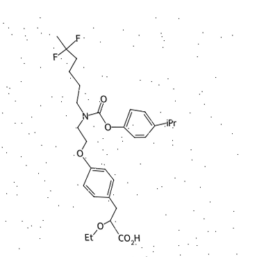 CCOC(Cc1ccc(OCCN(CCCCC(C)(F)F)C(=O)Oc2ccc(C(C)C)cc2)cc1)C(=O)O